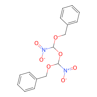 O=[N+]([O-])C(OCc1ccccc1)OC(OCc1ccccc1)[N+](=O)[O-]